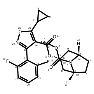 CC(C)(C)OC(=O)N1[C@@H]2CC[C@H]1C[C@@H](OC(=O)c1c(-c3c(F)cccc3F)noc1C1CC1)C2